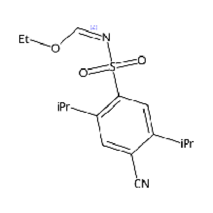 CCO/C=N\S(=O)(=O)c1cc(C(C)C)c(C#N)cc1C(C)C